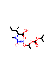 CC[C@@H](C)[C@@H](C(=O)O)N(C)/[N+]([O-])=N/OC(C)OC(=O)OC(C)C